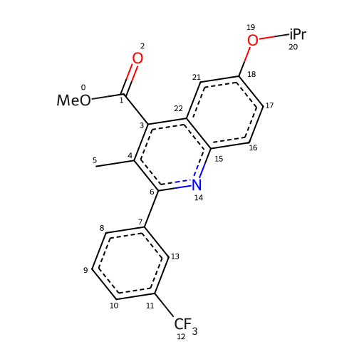 COC(=O)c1c(C)c(-c2cccc(C(F)(F)F)c2)nc2ccc(OC(C)C)cc12